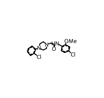 COc1cc(Cl)ccc1NC(=O)CN1CCN(c2ccccc2Cl)CC1